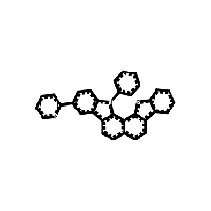 c1ccc(-n2c3ccc(-c4ccccn4)cc3c3ccc4ccc5c6ccccc6sc5c4c32)cc1